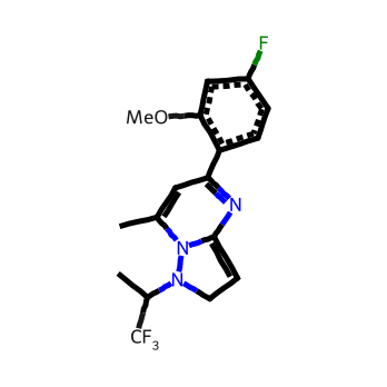 COc1cc(F)ccc1C1=NC2=CCN(C(C)C(F)(F)F)N2C(C)=C1